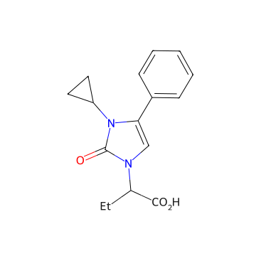 CCC(C(=O)O)n1cc(-c2ccccc2)n(C2CC2)c1=O